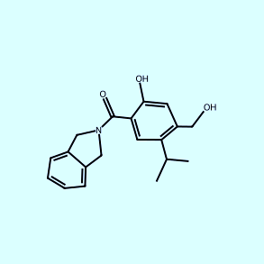 CC(C)c1cc(C(=O)N2Cc3ccccc3C2)c(O)cc1CO